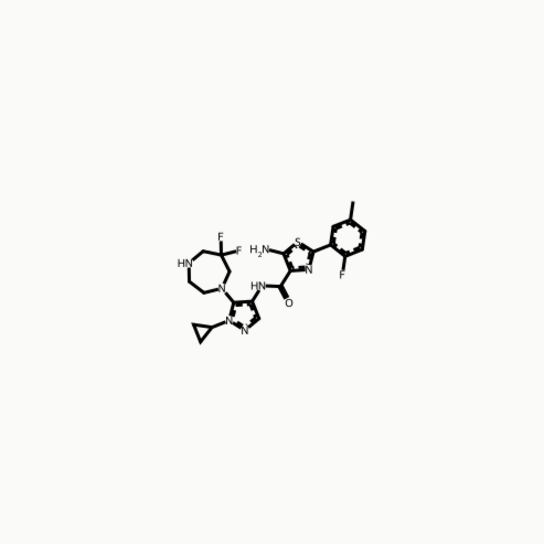 Cc1ccc(F)c(-c2nc(C(=O)Nc3cnn(C4CC4)c3N3CCNCC(F)(F)C3)c(N)s2)c1